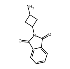 NC1CC(N2C(=O)c3ccccc3C2=O)C1